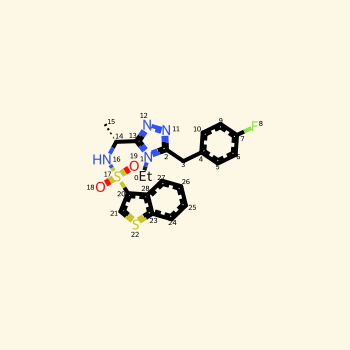 CCn1c(Cc2ccc(F)cc2)nnc1[C@@H](C)NS(=O)(=O)c1csc2ccccc12